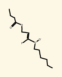 CCCCCC[S+]([O-])C(F)=CCOC(=O)CCC